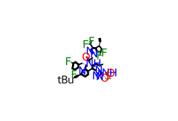 C#C[C@H]1CC(F)(F)c2c1c(C(F)F)nn2CC(=O)N[C@@H](Cc1cc(F)cc(F)c1)c1nc(C#CC(C)(C)C)ccc1-c1ccc(C)n2c(NS(C)(=O)=O)nnc12